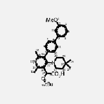 COc1cccc(-c2ccc(-c3c(C)nc(C)c(C(OC(C)(C)C)C(=O)O)c3N3CCC(C)(C)CC3)cc2)c1